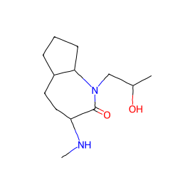 CNC1CCC2CCCC2N(CC(C)O)C1=O